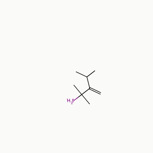 C=C(C(C)C)C(C)(C)P